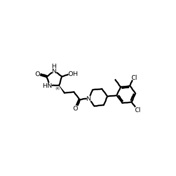 Cc1c(Cl)cc(Cl)cc1C1CCN(C(=O)CC[C@H]2NC(=O)NC2O)CC1